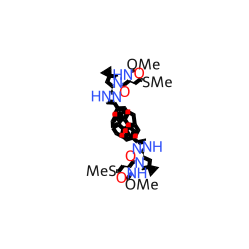 COC(=O)N[C@@H](CCSC)C(=O)N1CC2(CC2)C[C@H]1c1nc(-c2ccc(-c3cc4ccc3CCc3ccc(c(-c5ccc(-c6c[nH]c([C@@H]7CC8(CC8)CN7C(=O)[C@H](CCSC)NC(=O)OC)n6)cc5)c3)CC4)cc2)c[nH]1